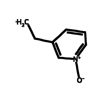 [CH2]Cc1ccc[n+]([O-])c1